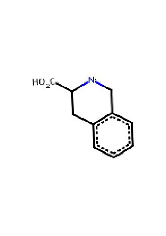 O=C(O)C1Cc2ccccc2C[N]1